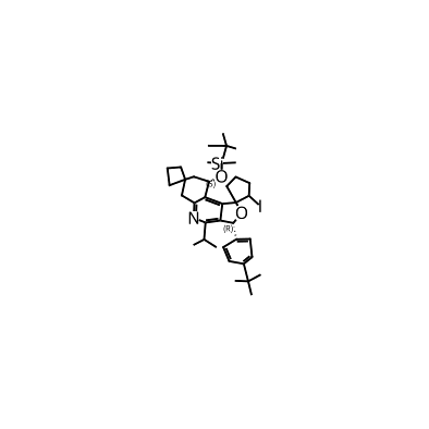 CC(C)c1nc2c(c3c1[C@@H](c1ccc(C(C)(C)C)cc1)OC31CCCC1I)[C@@H](O[Si](C)(C)C(C)(C)C)CC1(CCC1)C2